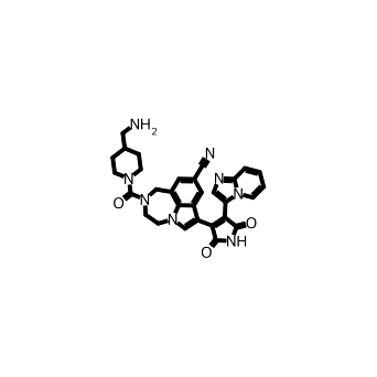 N#Cc1cc2c3c(c1)c(C1=C(c4cnc5ccccn45)C(=O)NC1=O)cn3CCN(C(=O)N1CCC(CN)CC1)C2